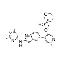 Cc1cc(-c2ccn3nc(Nc4cc(C)nc(C)n4)cc3c2)c(OC[C@@]2(O)CCCOC2)cn1